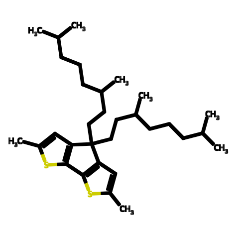 Cc1cc2c(s1)-c1sc(C)cc1C2(CCC(C)CCCC(C)C)CCC(C)CCCC(C)C